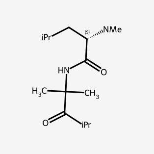 CN[C@@H](CC(C)C)C(=O)NC(C)(C)C(=O)C(C)C